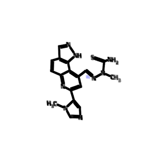 CN(/N=C/c1cc(-c2cncn2C)nc2ccc3cn[nH]c3c12)C(N)=S